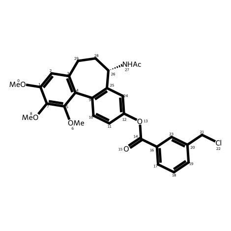 COc1cc2c(c(OC)c1OC)-c1ccc(OC(=O)c3cccc(CCl)c3)cc1[C@@H](NC(C)=O)CC2